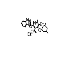 C=C(OCC)c1c(On2nnc3ccccc32)nc(C)c(CC)c1OC1CC(C)CC(C)C1